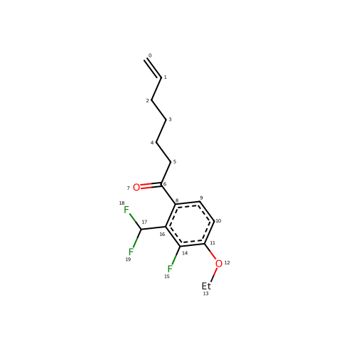 C=CCCCCC(=O)c1ccc(OCC)c(F)c1C(F)F